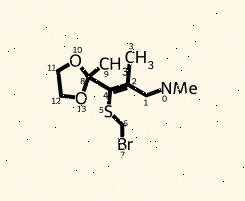 CNC/C(C)=C(\SCBr)C1(C)OCCO1